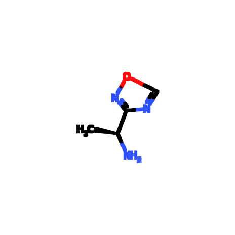 C[C@H](N)c1ncon1